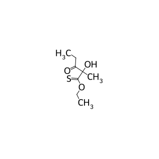 CCOC(=S)C(C)(O)C(=O)CC